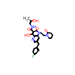 CC(O)CNC(=O)c1c(O)c2ncc(Cc3ccc(F)cc3)cc2n(CCN2CCCCC2=O)c1=O